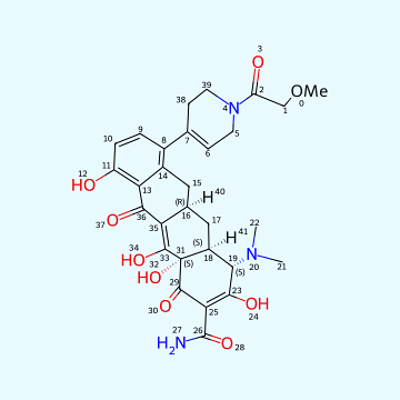 COCC(=O)N1CC=C(c2ccc(O)c3c2C[C@H]2C[C@H]4[C@H](N(C)C)C(O)=C(C(N)=O)C(=O)[C@@]4(O)C(O)=C2C3=O)CC1